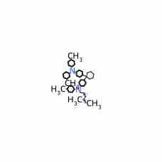 C/C=C(C)\C=C/CN(c1ccc(C)cc1)c1ccc(C2(c3ccc(N(c4ccc(C)cc4)c4cccc(C)c4)cc3)CCCCC2)cc1